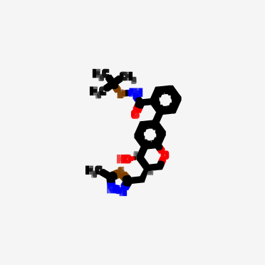 Cc1nnc(C[C@@H]2COc3cc(-c4ccccc4C(=O)NSC(C)(C)C)ccc3[C@H]2O)s1